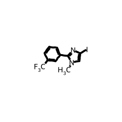 Cn1cc(I)nc1-c1cccc(C(F)(F)F)c1